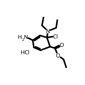 CCOC(=O)C1C=CC(N)=CC1(Cl)N(CC)CC.Cl